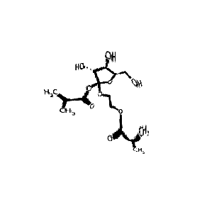 C=C(C)C(=O)OCCOC1(OC(=O)C(=C)C)O[C@H](CO)[C@H](O)[C@H]1O